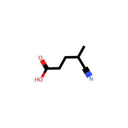 CC(C#N)CCC(=O)O